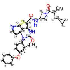 Cc1cc(Oc2ccccc2)ccc1N1C(=O)Nc2c(C(=O)NC3CN(C(=O)C(C#N)=CC4CC4)C3)sc3nccc1c23